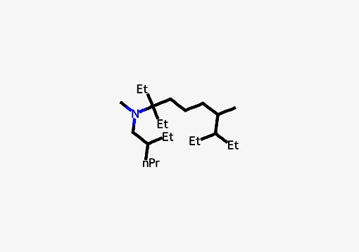 CCCC(CC)CN(C)C(CC)(CC)CCCC(C)C(CC)CC